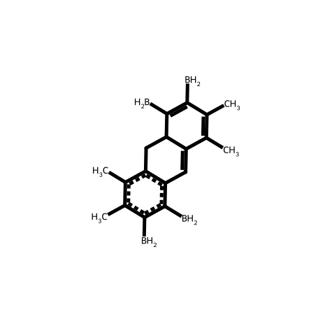 BC1=C(B)C2Cc3c(C)c(C)c(B)c(B)c3C=C2C(C)=C1C